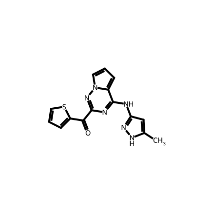 Cc1cc(Nc2nc(C(=O)c3cccs3)nn3cccc23)n[nH]1